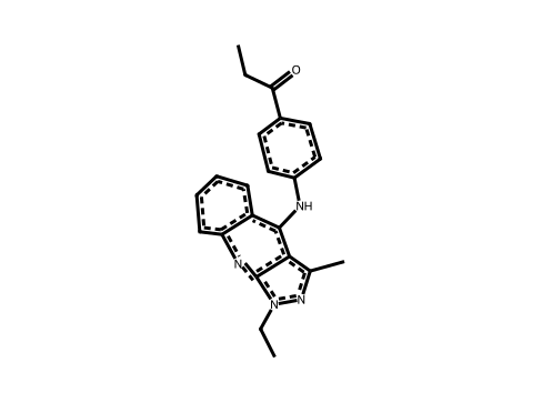 CCC(=O)c1ccc(Nc2c3ccccc3nc3c2c(C)nn3CC)cc1